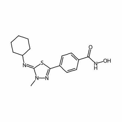 Cn1nc(-c2ccc(C(=O)NO)cc2)sc1=NC1CCCCC1